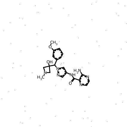 COc1cccc(C(n2cc(NC(=O)c3nccnc3N)cn2)C2(O)CN(C)C2)c1